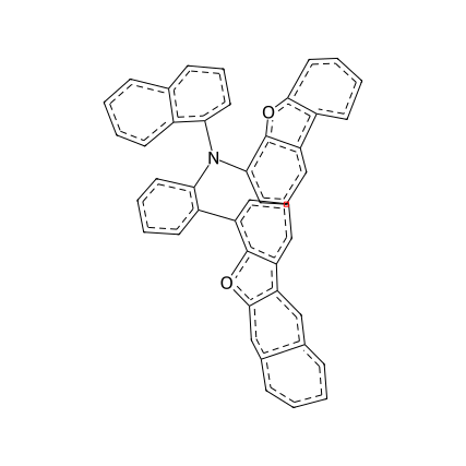 c1ccc(N(c2cccc3ccccc23)c2cccc3c2oc2ccccc23)c(-c2cccc3c2oc2cc4ccccc4cc23)c1